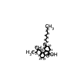 CCCCCCCCOc1ccc(C(=O)O)c(-c2ccccc2C[C@@H](C)CC)c1